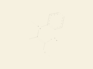 CCOC(=O)C(C#N)=C(C)N(C)c1ccccc1